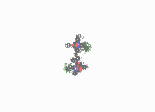 CC(C)(C)c1ccc2c(c1)c1cc(C(C)(C)C)ccc1n2-c1cc(C(F)(F)F)c(-c2c(F)c(F)c(F)c(F)c2F)cc1-n1c2ccc(C(C)(C)C)cc2c2cc(C(C)(C)Cc3cccc4c3c3ccccc3n4-c3ccc4c5ccccc5n(-c5cc(C(F)(F)F)c(-c6c(F)c(F)c(F)c(F)c6F)cc5-n5c6ccccc6c6ccc(-n7c8ccccc8c8ccccc87)cc65)c4c3)ccc21